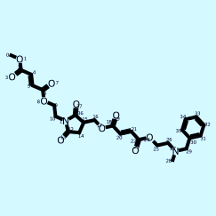 COC(=O)/C=C/C(=O)OCCN1C(=O)CC(COC(=O)/C=C/C(=O)OCCN(C)Cc2ccccc2)C1=O